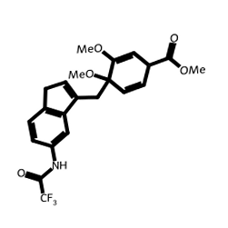 COC(=O)C1C=CC(CC2=CCc3ccc(NC(=O)C(F)(F)F)cc32)(OC)C(OC)=C1